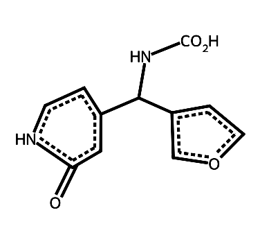 O=C(O)NC(c1ccoc1)c1cc[nH]c(=O)c1